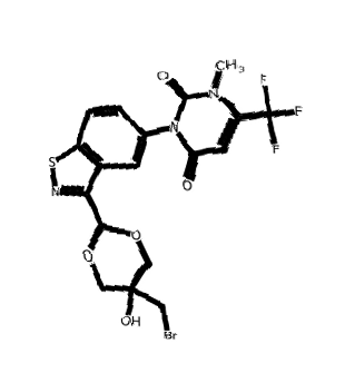 Cn1c(C(F)(F)F)cc(=O)n(-c2ccc3snc(C4OCC(O)(CBr)CO4)c3c2)c1=O